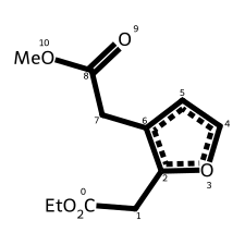 CCOC(=O)Cc1occc1CC(=O)OC